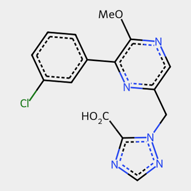 COc1ncc(Cn2ncnc2C(=O)O)nc1-c1cccc(Cl)c1